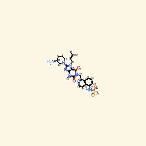 CC(C)=CCn1c(N2CCCC(N)C2)nc2c1c(=O)n(Cc1nccc3c(NS(C)(=O)=O)cccc13)c(=O)n2C